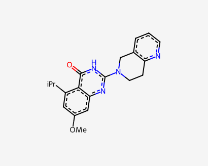 COc1cc(C(C)C)c2c(=O)[nH]c(N3CCc4ncccc4C3)nc2c1